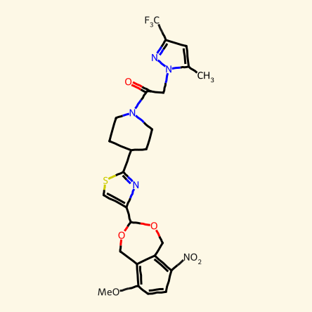 COc1ccc([N+](=O)[O-])c2c1COC(c1csc(C3CCN(C(=O)Cn4nc(C(F)(F)F)cc4C)CC3)n1)OC2